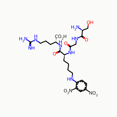 N=C(N)NCCC[C@@H](NC(=O)[C@H](CCCCNc1ccc([N+](=O)[O-])cc1[N+](=O)[O-])NC(=O)CNC(=O)[C@@H](N)CO)C(=O)O